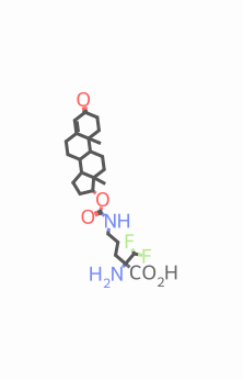 CC12CCC(=O)C=C1CCC1C2CCC2(C)C(OC(=O)NCCCC(N)(C(=O)O)C(F)F)CCC12